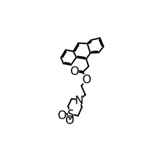 O=C(Cc1c2ccccc2cc2ccccc12)OCCN1CCS(=O)(=O)CC1